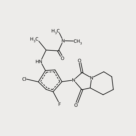 CC(Nc1cc(N2C(=O)C3CCCCN3C2=O)c(F)cc1Cl)C(=O)N(C)C